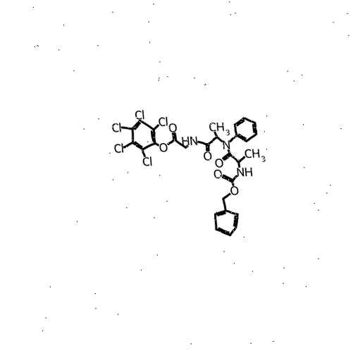 CC(NC(=O)OCc1ccccc1)C(=O)N(c1ccccc1)C(C)C(=O)NCC(=O)Oc1c(Cl)c(Cl)c(Cl)c(Cl)c1Cl